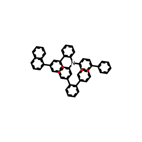 c1ccc(-c2ccc(N(c3cccc(-c4ccccc4-c4ccccc4)c3)c3ccccc3-c3cccc(-c4cccc5ccccc45)c3)cc2)cc1